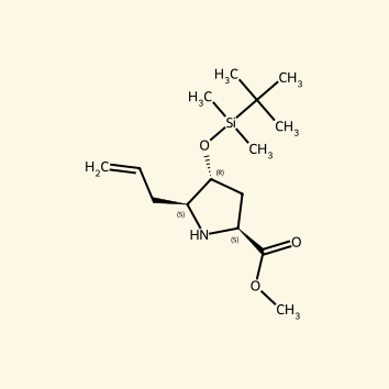 C=CC[C@@H]1N[C@H](C(=O)OC)C[C@H]1O[Si](C)(C)C(C)(C)C